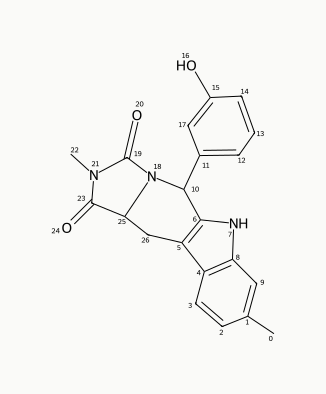 Cc1ccc2c3c([nH]c2c1)C(c1cccc(O)c1)N1C(=O)N(C)C(=O)C1C3